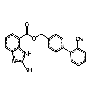 N#Cc1ccccc1-c1ccc(COC(=O)c2cccc3nc(S)[nH]c23)cc1